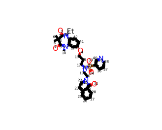 CCN1C(=O)C(C)(C)C(=O)N(C)c2cc(OCCCN(CCn3ccc4ccccc4c3=O)S(=O)(=O)c3cccnc3)ccc21